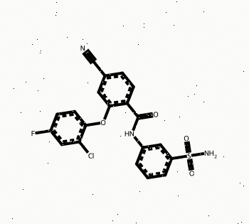 N#Cc1ccc(C(=O)Nc2cccc(S(N)(=O)=O)c2)c(Oc2ccc(F)cc2Cl)c1